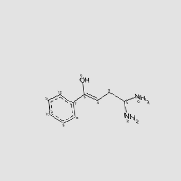 NC(N)CC=C(O)c1ccccc1